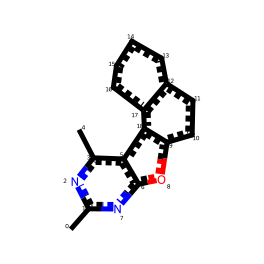 Cc1nc(C)c2c(n1)oc1ccc3ccccc3c12